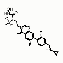 CS(=O)(=O)[C@H](CCn1cnc2cc(-c3ccc(CNC4CC4)cc3F)c(F)cc2c1=O)C(=O)NO